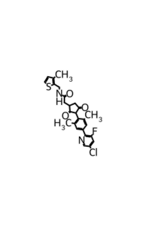 Cc1ccsc1CNC(=O)CC1CC(=O)C(c2c(C)cc(-c3ncc(Cl)cc3F)cc2C)C1=O